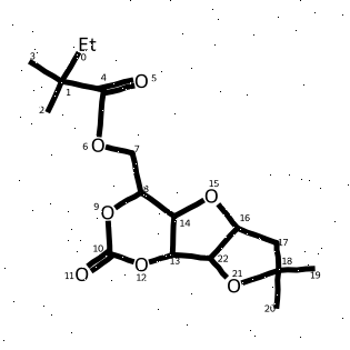 CCC(C)(C)C(=O)OCC1OC(=O)OC2C1OC1CC(C)(C)OC12